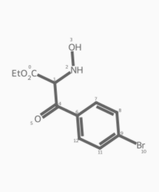 CCOC(=O)C(NO)C(=O)c1ccc(Br)cc1